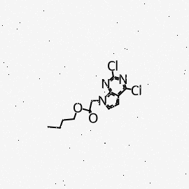 CCCCOC(=O)Cn1ccc2c(Cl)nc(Cl)nc21